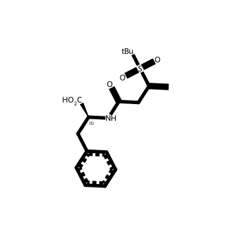 C=C(CC(=O)N[C@@H](Cc1ccccc1)C(=O)O)S(=O)(=O)C(C)(C)C